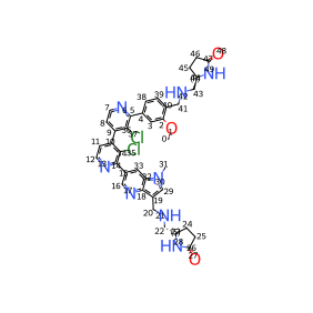 COc1cc(-c2nccc(-c3ccnc(-c4cnc5c(CNC[C@@H]6CCC(=O)N6)cn(C)c5c4)c3Cl)c2Cl)ccc1CNC[C@H]1CCC(=O)N1